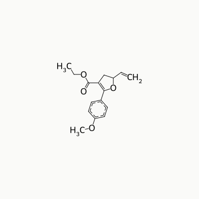 C=CC1CC(C(=O)OCC)=C(c2ccc(OC)cc2)O1